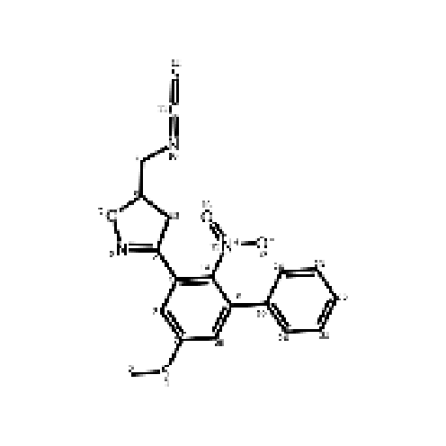 CSc1cc(C2=NOC(CN=C=S)C2)c([N+](=O)[O-])c(-c2ccccc2)c1